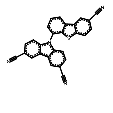 N#Cc1ccc2sc3c(-n4c5ccc(C#N)cc5c5cc(C#N)ccc54)cccc3c2c1